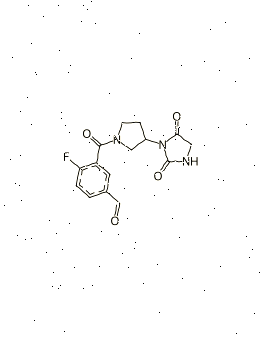 O=Cc1ccc(F)c(C(=O)N2CCC(N3C(=O)CNC3=O)C2)c1